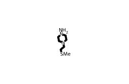 CSCCN1CCN(N)CC1